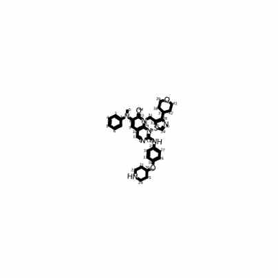 CN(c1ccccc1)c1cc2cnc(Nc3ccc(OC4CCNCC4)cc3)nc2n(Cc2scnc2C2CCOCC2)c1=O